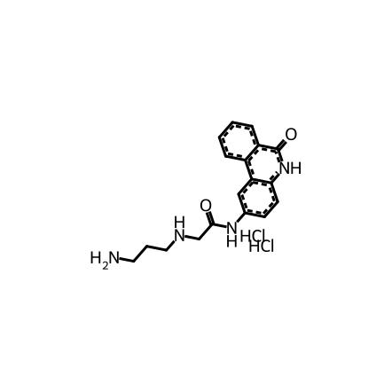 Cl.Cl.NCCCNCC(=O)Nc1ccc2[nH]c(=O)c3ccccc3c2c1